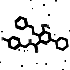 COc1cc(N2CCCCC2)nc(C(=O)NCc2ccc(F)cc2)c1OCc1ccccc1